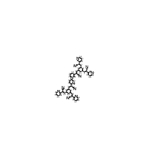 N#C/C(=C\c1cc(/C=C(\C#N)c2cccnc2)cc(/C=C(\C#N)c2ccc[n+](-c3ccc(/C(C#N)=C/c4cc(/C=C(\C#N)c5ccccn5)cc(/C=C(\C#N)c5ccccn5)c4)nc3)c2)c1)c1cccnc1